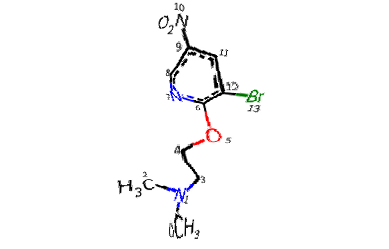 CN(C)CCOc1ncc([N+](=O)[O-])cc1Br